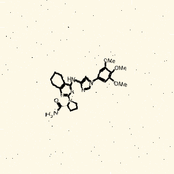 COc1cc(-n2cnc(Nc3nc(N4CCC[C@@H]4C(N)=O)nc4c3CCCC4)c2)cc(OC)c1OC